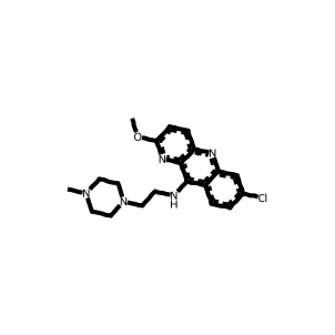 COc1ccc2nc3cc(Cl)ccc3c(NCCN3CCN(C)CC3)c2n1